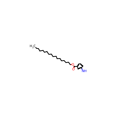 CCCCCCCCCCCCCCCCCCOC(=O)c1cccc([NH])c1